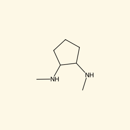 CNC1CCCC1NC